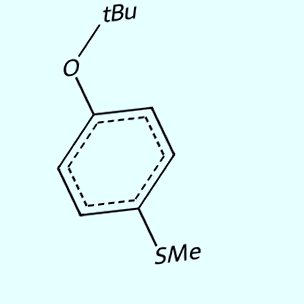 CSc1ccc(OC(C)(C)C)cc1